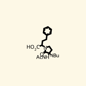 CC[C@H](C)[C@@]1(NC(C)=O)CCN(C(CCc2ccccc2)C(=O)O)C1=O